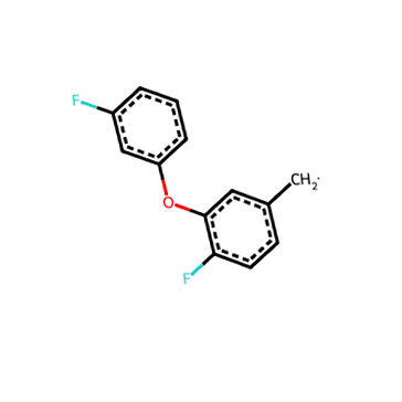 [CH2]c1ccc(F)c(Oc2cccc(F)c2)c1